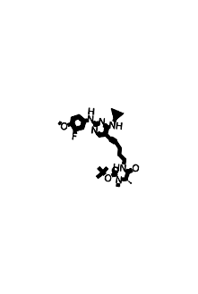 COc1ccc(Nc2ncc(C#CCCCNC(=O)[C@H](C)N(C)C(=O)OC(C)(C)C)c(NC3CC3)n2)cc1F